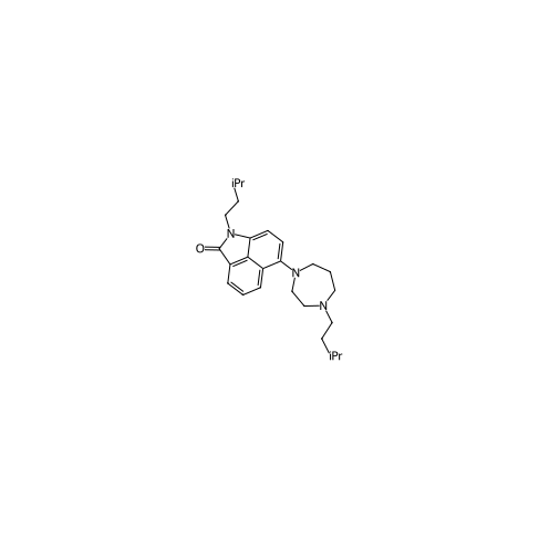 CC(C)CCN1CCCN(c2ccc3c4c(cccc24)C(=O)N3CCC(C)C)CC1